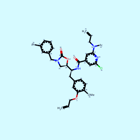 C=CCOc1cc(C[C@H](NC(=O)c2cc(Cl)nc(N(CC=C)C(C)=O)c2)[C@H]2CN(Cc3cccc(C(C)C)c3)C(=O)O2)ccc1OC